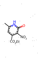 CCOC(=O)c1cc(C)[nH]c(=O)c1[N+](=O)[O-]